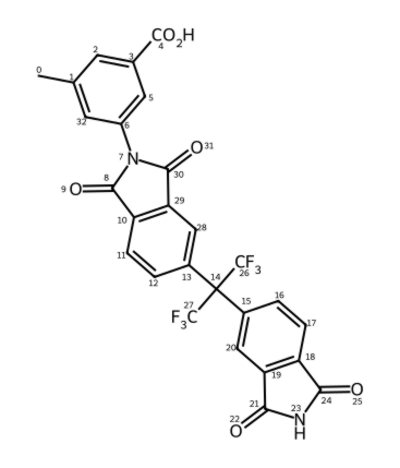 Cc1cc(C(=O)O)cc(N2C(=O)c3ccc(C(c4ccc5c(c4)C(=O)NC5=O)(C(F)(F)F)C(F)(F)F)cc3C2=O)c1